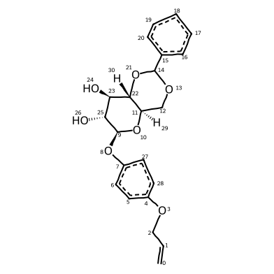 C=CCOc1ccc(O[C@@H]2O[C@@H]3COC(c4ccccc4)O[C@H]3[C@H](O)[C@H]2O)cc1